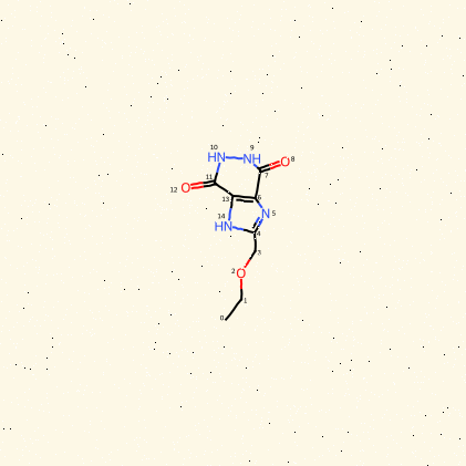 CCOCc1nc2c(=O)[nH][nH]c(=O)c2[nH]1